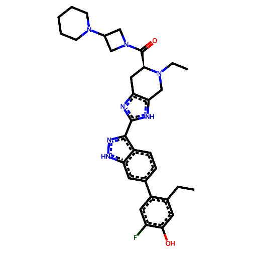 CCc1cc(O)c(F)cc1-c1ccc2c(-c3nc4c([nH]3)CN(CC)[C@H](C(=O)N3CC(N5CCCCC5)C3)C4)n[nH]c2c1